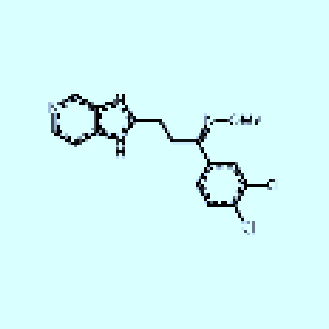 CON=C(CCc1nc2cnccc2[nH]1)c1ccc(Cl)c(Cl)c1